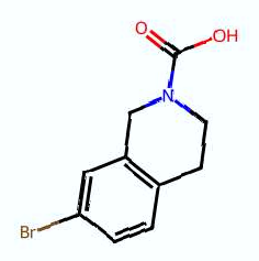 O=C(O)N1CCc2ccc(Br)cc2C1